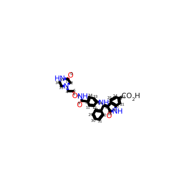 O=C1CN(CCONC(=O)c2ccc(NC(=C3C(=O)Nc4cc(C(=O)O)ccc43)c3ccccc3)cc2)CCN1